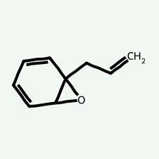 C=CCC12C=CC=CC1O2